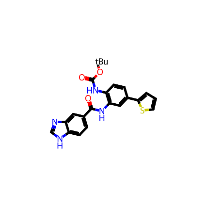 CC(C)(C)OC(=O)Nc1ccc(-c2cccs2)cc1NC(=O)c1ccc2[nH]cnc2c1